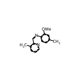 COc1cc(C)ccc1/N=C\c1ncccc1C